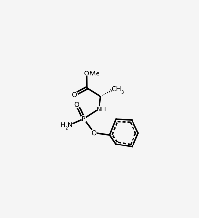 COC(=O)[C@H](C)NP(N)(=O)Oc1ccccc1